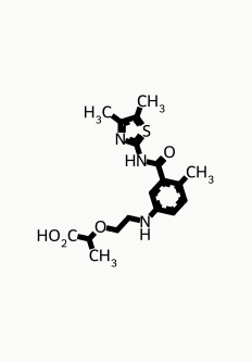 Cc1ccc(NCCOC(C)C(=O)O)cc1C(=O)Nc1nc(C)c(C)s1